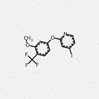 COc1cc(Oc2cc(I)ccn2)ccc1C(F)(F)F